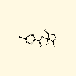 O=C(O[N+]1(O)C(=O)CCC1=O)c1ccc(I)cc1